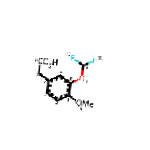 COc1ccc(CC(=O)O)cc1OC(F)F